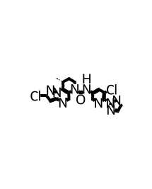 C[C@@H]1CCN(C(=O)Nc2cnc(-n3nccn3)c(Cl)c2)c2cnc3cc(Cl)nn3c21